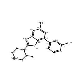 CC1CNCCN1c1nc2cc(Cl)cc(-c3cccc(F)n3)c2o1